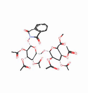 COC(=O)C1O[C@@H](OC[C@H]2O[C@@H](ON3C(=O)c4ccccc4C3=O)[C@H](OC(C)=O)[C@@H](OC(C)=O)[C@H]2OC(C)=O)[C@H](OC(C)=O)[C@@H](OC(C)=O)[C@@H]1OC(C)=O